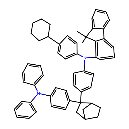 CC1(C)c2ccccc2-c2cccc(N(c3ccc(C4CCCCC4)cc3)c3ccc(C4(c5ccc(N(c6ccccc6)c6ccccc6)cc5)CC5CCC4C5)cc3)c21